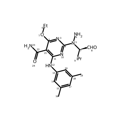 CCOc1nc(N(N)[C@@H](C=O)C(C)C)nc(Nc2cc(C)cc(C)c2)c1C(N)=O